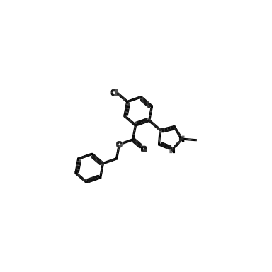 Cn1cc(-c2ccc(Cl)cc2C(=O)OCc2ccccc2)cn1